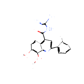 COc1ccc2c(C(=O)NC(=N)N)cc(-c3ccccc3C)nc2c1OC